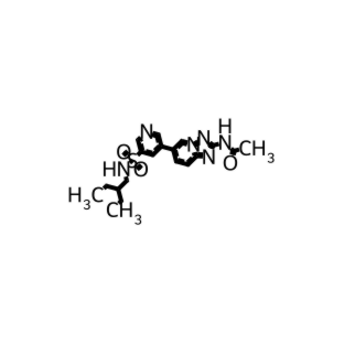 CCC(CC)CNS(=O)(=O)c1cncc(-c2ccc3nc(NC(C)=O)nn3c2)c1